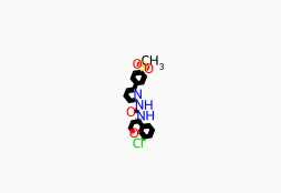 CS(=O)(=O)c1ccc(-c2cccc(NC(=O)N[C@H]3CCOc4c(Cl)cccc43)n2)cc1